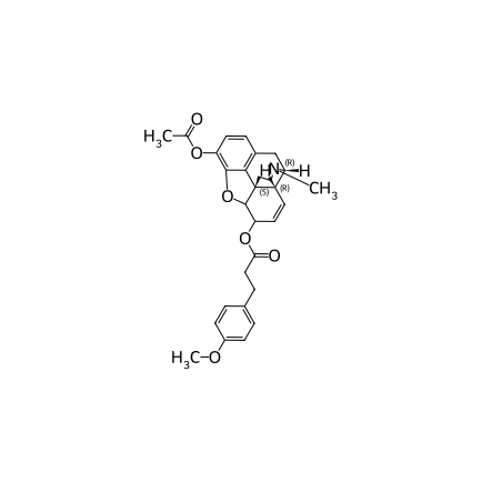 COc1ccc(CCC(=O)OC2C=C[C@H]3[C@H]4Cc5ccc(OC(C)=O)c6c5[C@@]3(CCN4C)C2O6)cc1